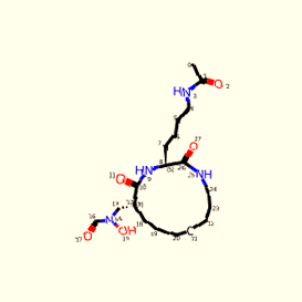 CC(=O)NCCCC[C@@H]1NC(=O)[C@@H](CN(O)C=O)CCCCCCCNC1=O